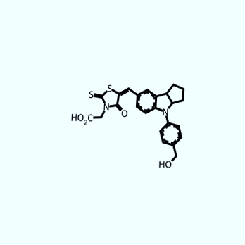 O=C(O)CN1C(=O)/C(=C\c2ccc3c(c2)C2CCCC2N3c2ccc(CO)cc2)SC1=S